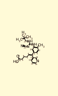 Cc1ccc(C(=CCCCC(=O)O)c2cccnc2)cc1NC(=NC#N)NCC(C)(C)C